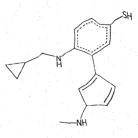 CNC1C=CC(c2cc(S)ccc2NCC2CC2)=C1